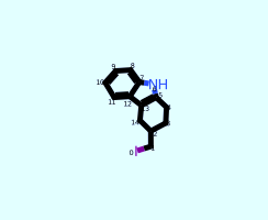 ICC1CCc2[nH]c3ccccc3c2C1